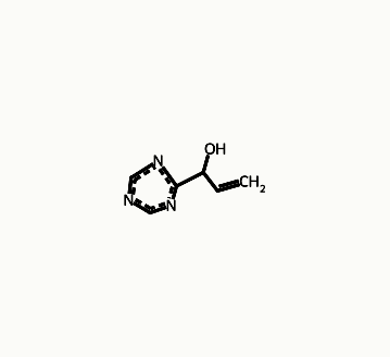 C=CC(O)c1ncncn1